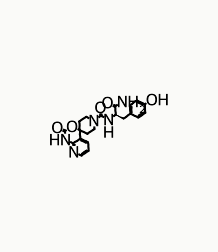 NC(=O)[C@@H](Cc1ccc(O)cc1)NC(=O)N1CCC2(CC1)OC(=O)Nc1ncccc12